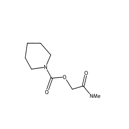 CNC(=O)COC(=O)N1CCCCC1